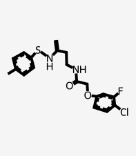 C=C(CCNC(=O)COc1ccc(Cl)c(F)c1)NSc1ccc(C)cc1